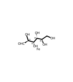 O=C[C@@H](O)[C@@H](O)[C@H](O)[C@H](O)CO.[Fe]